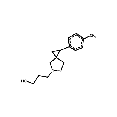 OCCCN1CCC2(CC2c2ccc(C(F)(F)F)cc2)C1